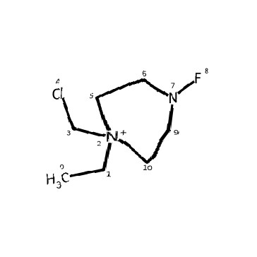 CC[N+]1(CCl)CCN(F)CC1